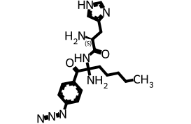 CCCCCC(N)(NC(=O)[C@@H](N)Cc1c[nH]cn1)C(=O)c1ccc(N=[N+]=[N-])cc1